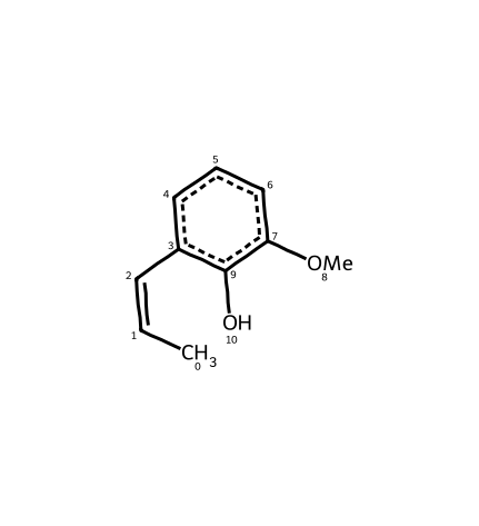 C/C=C\c1cccc(OC)c1O